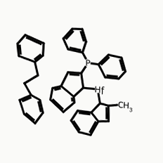 CC1=Cc2ccccc2[CH]1[Hf][CH]1C(P(c2ccccc2)c2ccccc2)=Cc2ccccc21.c1ccc(CCc2ccccc2)cc1